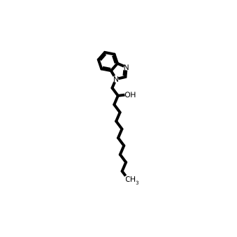 CCCCCCCCCCC(O)Cn1cnc2ccccc21